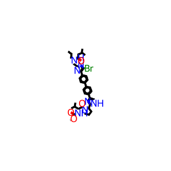 CCCN(Cc1nc(-c2ccc(-c3ccc(-c4c[nH]c(C5CCCN5C(=O)C(NC(=O)OC)C(C)C)n4)cc3)cc2)c(Br)[nH]1)C(=O)CC(C)C